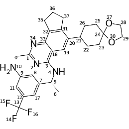 Cc1nc(N[C@H](C)c2cc(N)cc(C(F)(F)F)c2)c2cc(C3CCC4(CC3)OCCO4)c3c(c2n1)CCC3